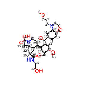 COCCCN1CCOc2ccc(CO[C@H]3CN(C(=O)O)[C@@](CC(C)(C)C(=O)NCCO)(C(C)(C)C)C[C@@H]3c3ccc(OC)cc3)cc21